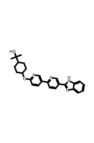 CC(C)(O)C1CCC(Oc2ccc(-c3ccc(-c4nc5ccccc5[nH]4)cn3)cn2)CC1